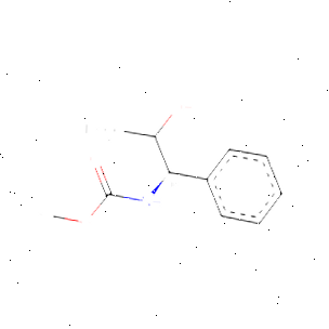 CC(C)(C)OC(=O)N[C@H](c1ccccc1)C(O)C(=O)O